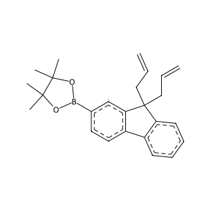 C=CCC1(CC=C)c2[c]c(B3OC(C)(C)C(C)(C)O3)ccc2-c2ccccc21